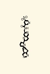 CS(=O)(=O)c1cncc(C(=O)NCc2cc3nc(-c4cccc(N5C6CCC5c5cncnc5C6)n4)ccc3cn2)c1